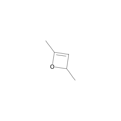 CC1=CC(C)O1